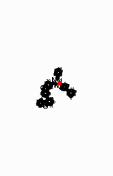 c1ccc(-c2ccc(-c3nc(-c4ccccc4)nc(-c4ccc5oc6ccc(-c7cccc8oc9ccccc9c78)cc6c5c4)n3)cc2)cc1